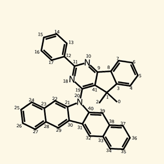 CC1(C)c2ccccc2-c2nc(-c3ccccc3)nc(-n3c4cc5ccccc5cc4c4cc5ccccc5cc43)c21